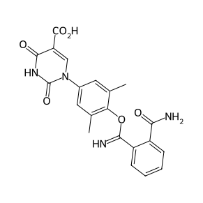 Cc1cc(-n2cc(C(=O)O)c(=O)[nH]c2=O)cc(C)c1OC(=N)c1ccccc1C(N)=O